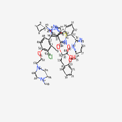 Cc1c(-c2c(C3CCC3)ncc3snc(O[C@H](Cc4ccccc4OCc4ccnc(-c5cccc(-c6ccn(C)n6)c5)n4)C(=O)O)c23)ccc(OCCN2CCN(C)CC2)c1Cl